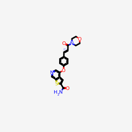 NC(=O)c1cc2c(Oc3ccc(/C=C/C(=O)N4CCOCC4)cc3)cncc2s1